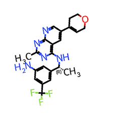 Cc1nc(N[C@H](C)c2cc(N)cc(C(F)(F)F)c2)c2cc(C3=CCOCC3)cnc2n1